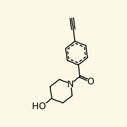 C#Cc1ccc(C(=O)N2CCC(O)CC2)cc1